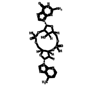 Nc1nc2c(ncn2[C@@H]2O[C@@H]3COP(=O)(S)O[C@@H]4C(F)[C@H](n5cnc6c(N)ccnc65)O[C@@H]4COP(=O)(S)OC2[C@H]3O)c(=O)[nH]1